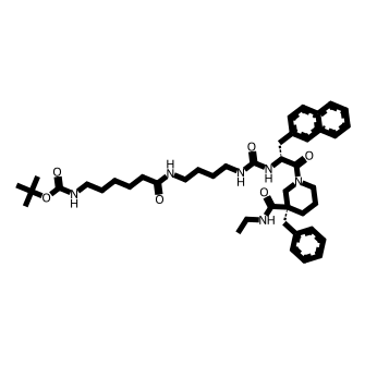 CCNC(=O)[C@]1(Cc2ccccc2)CCCN(C(=O)[C@@H](Cc2ccc3ccccc3c2)NC(=O)NCCCCNC(=O)CCCCCNC(=O)OC(C)(C)C)C1